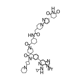 CC(C)n1cnc2cc(-c3ccc4c(c3)N(C3CC(N5CCCCC5)C3)C(=O)C43CCN(C(=O)[C@@H]4CCC[C@H](NC(=O)CC5CCN(c6ccc([C@H]7CCC(=O)NC7=O)cn6)CC5)C4)CC3)nc(NC3CC3)c21